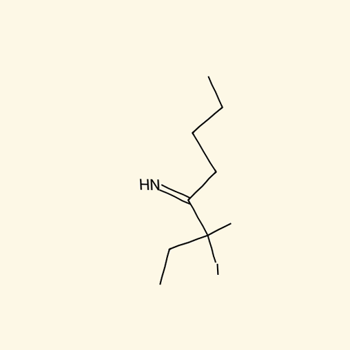 CCCCC(=N)C(C)(I)CC